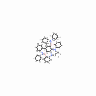 CN1c2ccccc2B2c3c(c4c5c(c31)N(C)c1ccccc1B5N(c1ccccc1)c1ccccc1-4)-c1ccccc1N2c1ccccc1